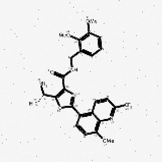 COc1cccc(CNC(=O)c2nc(-c3ccc(OC)c4nc(C(F)(F)F)ccc34)oc2[C@H](C)N)c1OC